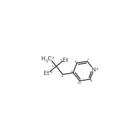 CCC(C)(CC)Cc1ccncc1